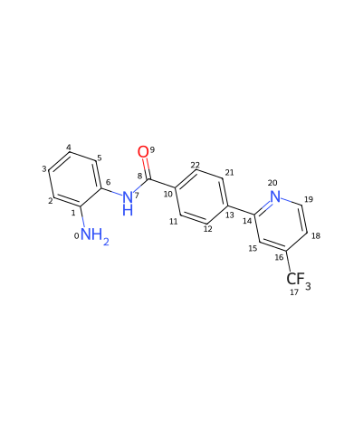 Nc1ccccc1NC(=O)c1ccc(-c2cc(C(F)(F)F)ccn2)cc1